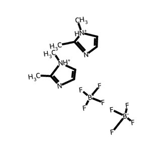 CC1=NC=C[NH+]1C.CC1=NC=C[NH+]1C.F[B-](F)(F)F.F[B-](F)(F)F